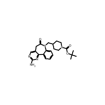 CC(C)(C)OC(=O)N1CCC(CN2C(=O)Cc3cnc(N)nc3-c3ccccc32)CC1